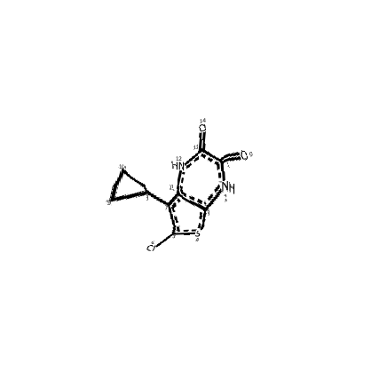 O=c1[nH]c2sc(Cl)c(C3CC3)c2[nH]c1=O